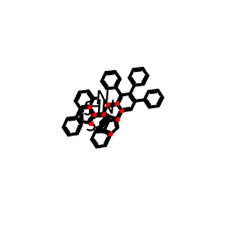 c1ccc(-c2cccc(N(c3ccccc3-c3c(-c4ccccc4)c(-c4ccccc4)cc4c3[nH]c3ccccc34)c3cccc(-c4ccccc4)c3-c3cccs3)c2-c2cccs2)cc1